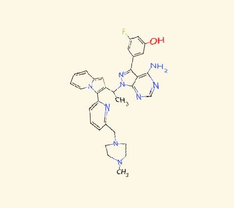 CC(c1cc2ccccn2c1-c1cccc(CN2CCN(C)CC2)n1)n1nc(-c2cc(O)cc(F)c2)c2c(N)ncnc21